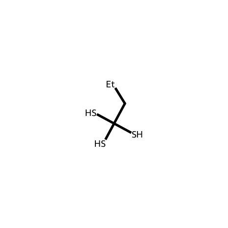 [CH2]CCC(S)(S)S